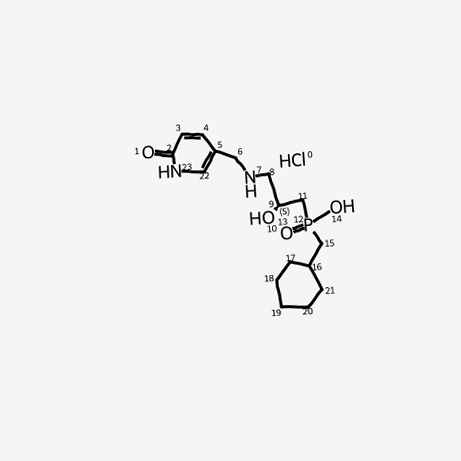 Cl.O=c1ccc(CNC[C@H](O)CP(=O)(O)CC2CCCCC2)c[nH]1